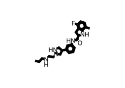 CCCNCCN1CC(c2cccc(NC(=O)C3Cc4c(F)ccc(C)c4N3)c2)CN1